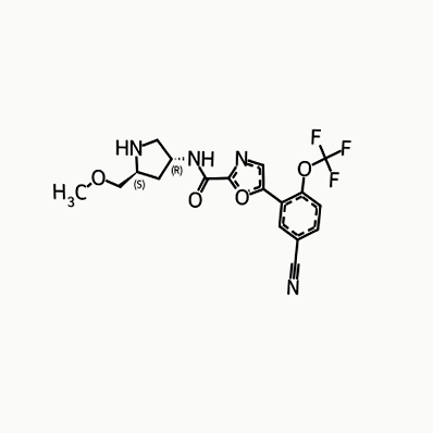 COC[C@@H]1C[C@@H](NC(=O)c2ncc(-c3cc(C#N)ccc3OC(F)(F)F)o2)CN1